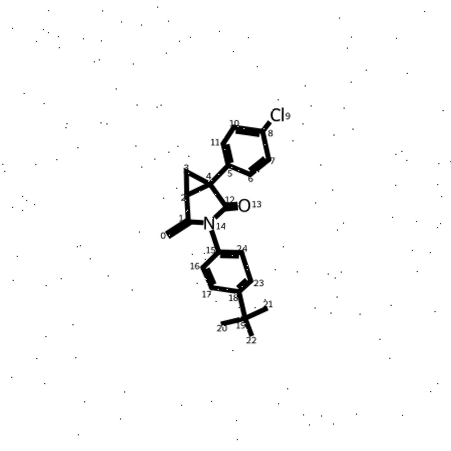 C=C1C2CC2(c2ccc(Cl)cc2)C(=O)N1c1ccc(C(C)(C)C)cc1